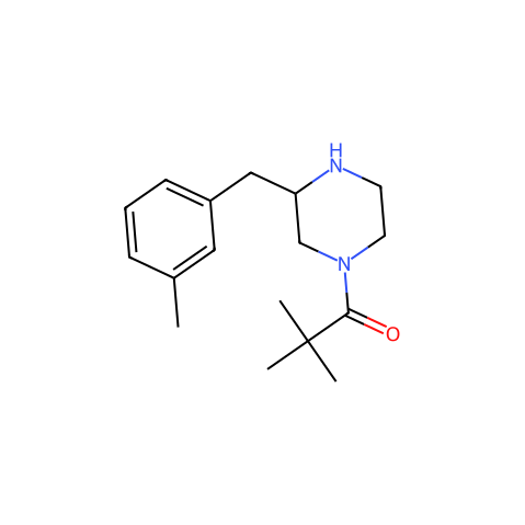 Cc1cccc(CC2CN(C(=O)C(C)(C)C)CCN2)c1